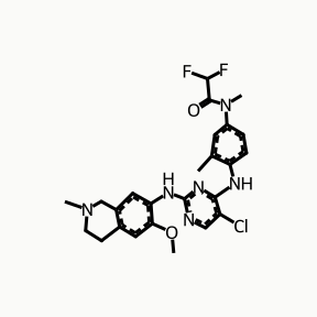 COc1cc2c(cc1Nc1ncc(Cl)c(Nc3ccc(N(C)C(=O)C(F)F)cc3C)n1)CN(C)CC2